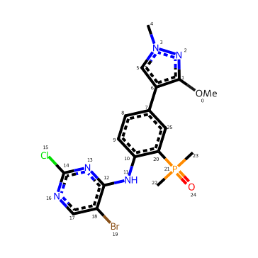 COc1nn(C)cc1-c1ccc(Nc2nc(Cl)ncc2Br)c(P(C)(C)=O)c1